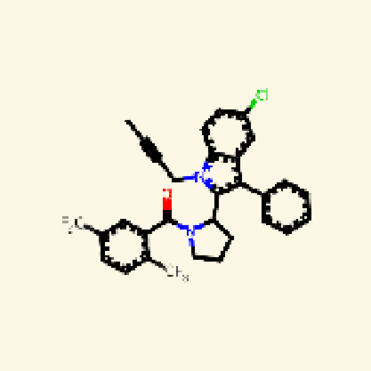 CC#CCn1c(C2CCCN2C(=O)c2cc(C(F)(F)F)ccc2C(F)(F)F)c(-c2ccccc2)c2cc(Cl)ccc21